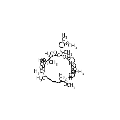 COC1C[C@H](C[C@@H](C)[C@@H]2CC(=O)[C@H](C)/C=C(\C)[C@@H](O)[C@@H](OC)C(=O)[C@H](C)C[C@H](C)/C=C/C=C/C=C(\C)[C@@H](OC)C[C@@H]3CC[C@@H](C)[C@@](O)(O3)C(=O)C(=O)N3CCCC[C@H]3C(=O)O2)CC[C@@H]1C